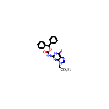 CCOC(=O)Cn1cnc2c(I)nc(NC(=O)OC(c3ccccc3)c3ccccc3)nc21